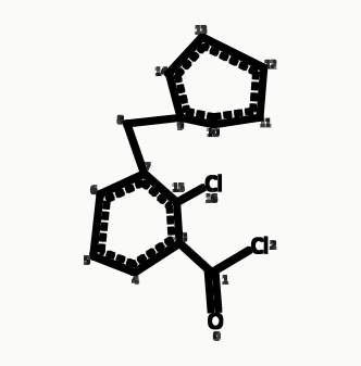 O=C(Cl)c1cccc(Cc2ccccc2)c1Cl